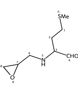 CSCCC(C=O)NCC1CO1